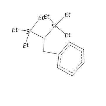 CC[Si](CC)(CC)C(Cc1ccccc1)[Si](CC)(CC)CC